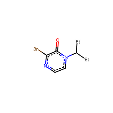 CCC(CC)n1ccnc(Br)c1=O